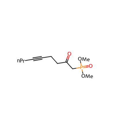 CCCC#CCCC(=O)CP(=O)(OC)OC